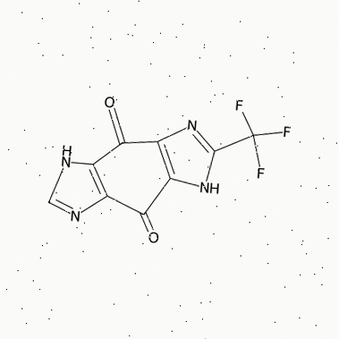 O=C1c2nc(C(F)(F)F)[nH]c2C(=O)c2nc[nH]c21